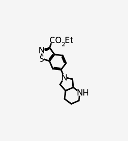 CCOC(=O)c1nsc2cc(N3CC4CCCNC4C3)ccc12